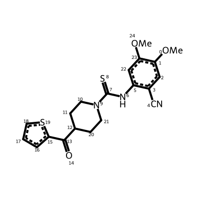 COc1cc(C#N)c(NC(=S)N2CCC(C(=O)c3cccs3)CC2)cc1OC